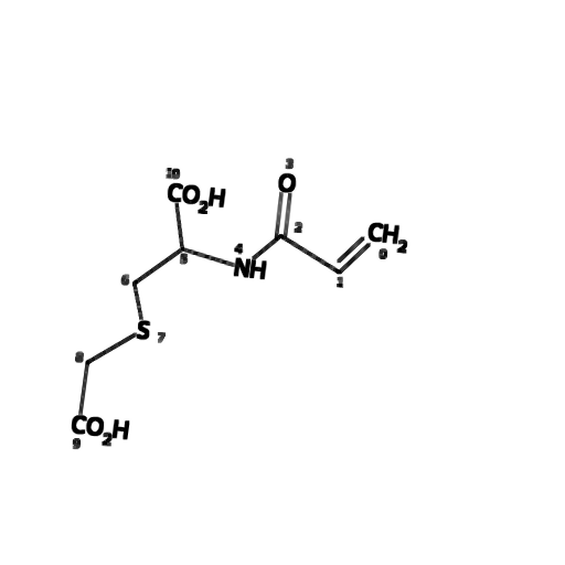 C=CC(=O)NC(CSCC(=O)O)C(=O)O